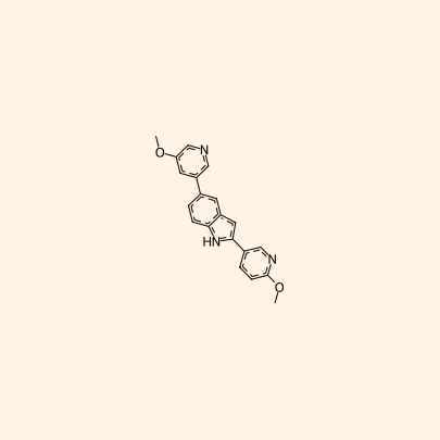 COc1cncc(-c2ccc3[nH]c(-c4ccc(OC)nc4)cc3c2)c1